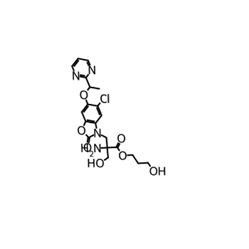 CC(Oc1cc2oc(=O)n(CC(N)(CO)C(=O)OCCCO)c2cc1Cl)c1ncccn1